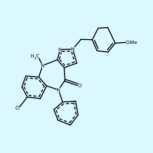 COC1=CC=C(Cn2cc3c(n2)N(C)c2ccc(Cl)cc2N(c2ccccc2)C3=O)CC1